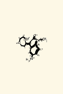 CN1C(=O)/C(=C2/CCOCCN2)c2cc(N)ccc21